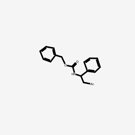 CC(=O)CC(NC(=O)OCc1ccccc1)c1ccccc1